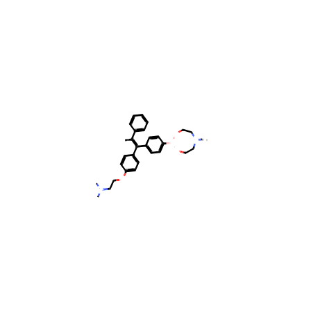 CCCCN1CCOB(c2ccc(C(=C(CC)c3ccccc3)c3ccc(OCCN(C)C)cc3)cc2)OCC1